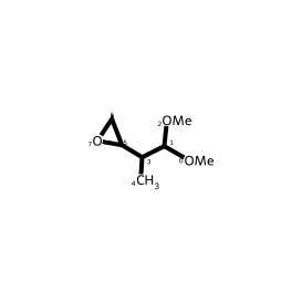 COC(OC)C(C)C1CO1